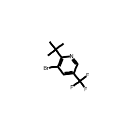 CC(C)(C)c1ncc(C(F)(F)F)cc1Br